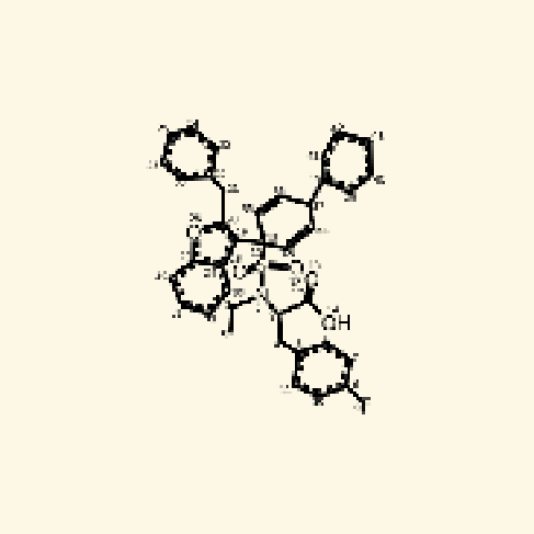 CCN(C(Cc1ccc(F)cc1)C(=O)O)S(=O)(=O)C1(c2c(Cc3ccccc3)oc3ccccc23)C=CC(c2ccccc2)C=C1